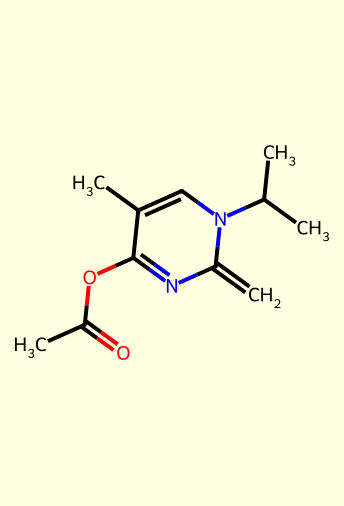 C=C1N=C(OC(C)=O)C(C)=CN1C(C)C